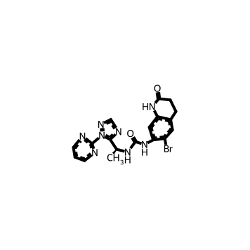 C[C@H](NC(=O)Nc1cc2c(cc1Br)CCC(=O)N2)c1ncnn1-c1ncccn1